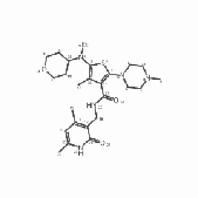 CCN(c1sc(N2CCN(C)CC2)c(C(=O)NCc2c(C)cc(C)[nH]c2=O)c1C)C1CCOCC1